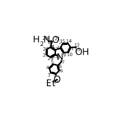 CCOc1cccc(Cn2c3cc(CO)c[c]c3c3c(C(N)=O)cccc32)c1